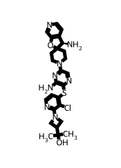 CC(C)(O)C1CN(c2nccc(Sc3ncc(N4CCC5(CC4)Oc4cnccc4[C@H]5N)nc3N)c2Cl)C1